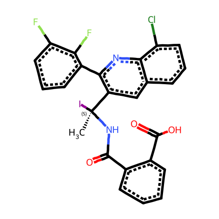 C[C@@](I)(NC(=O)c1ccccc1C(=O)O)c1cc2cccc(Cl)c2nc1-c1cccc(F)c1F